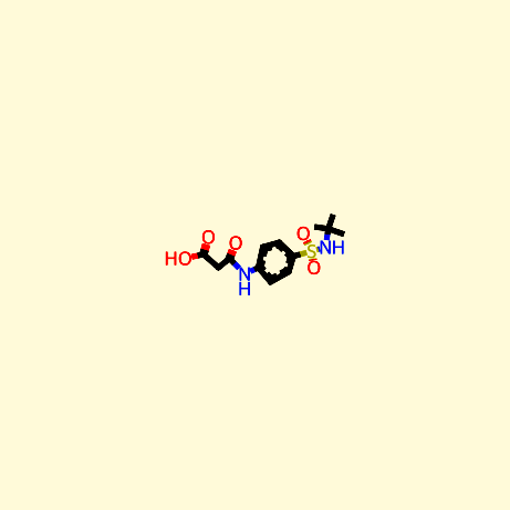 CC(C)(C)NS(=O)(=O)c1ccc(NC(=O)CC(=O)O)cc1